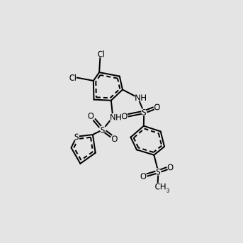 CS(=O)(=O)c1ccc(S(=O)(=O)Nc2cc(Cl)c(Cl)cc2NS(=O)(=O)c2cccs2)cc1